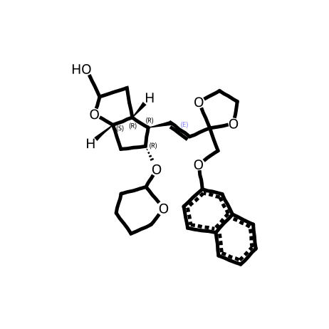 OC1C[C@@H]2[C@@H](/C=C/C3(COc4ccc5ccccc5c4)OCCO3)[C@H](OC3CCCCO3)C[C@@H]2O1